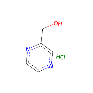 Cl.OCc1cnccn1